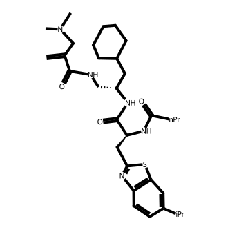 C=C(CN(C)C)C(=O)NC[C@H](CC1CCCCC1)NC(=O)[C@H](Cc1nc2ccc(C(C)C)cc2s1)NC(=O)CCC